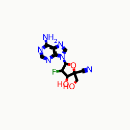 N#CC1(CO)OC(n2cnc3c(N)ncnc32)C(F)C1O